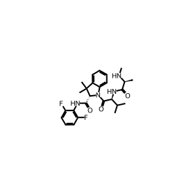 CN[C@@H](C)C(=O)N[C@H](C(=O)N1c2ccccc2C(C)(C)[C@H]1C(=O)Nc1c(F)cccc1F)C(C)C